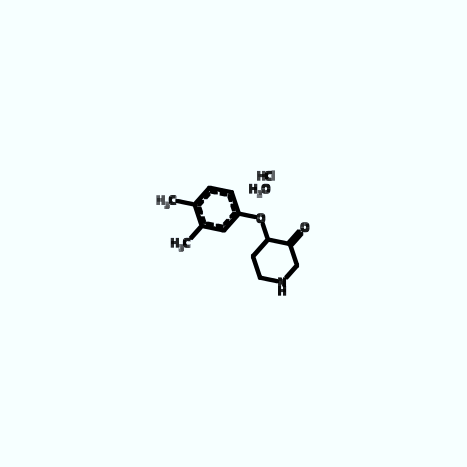 Cc1ccc(OC2CCNCC2=O)cc1C.Cl.O